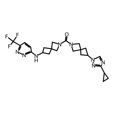 O=C(N1CC2(CC(Nc3ccc(C(F)(F)F)nn3)C2)C1)N1CC2(CC(n3cnc(C4CC4)n3)C2)C1